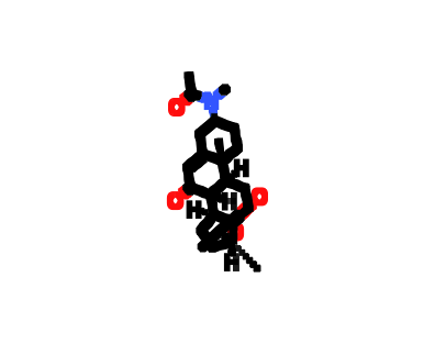 CC(=O)N(C)[C@H]1CC[C@@]2(C)C(=CC(=O)[C@H]3[C@@H]4CC[C@@H]5[C@H](C)OC(=O)[C@@]54CC[C@@H]32)C1